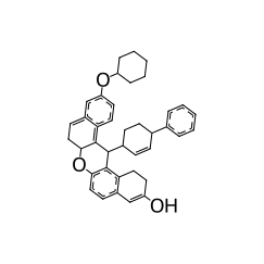 OC1=Cc2ccc3c(c2CC1)C(C1C=CC(c2ccccc2)CC1)C1=c2ccc(OC4CCCCC4)cc2=CCC1O3